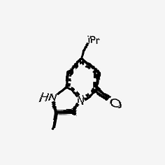 CC1Cn2c(cc(C(C)C)cc2=O)N1